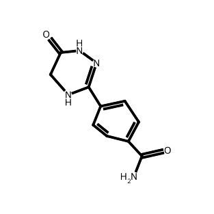 NC(=O)c1ccc(C2=NNC(=O)CN2)cc1